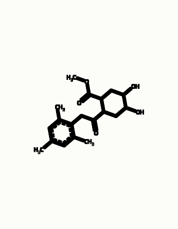 COC(=O)C1CC(O)C(O)CC1C(=O)Cc1c(C)cc(C)cc1C